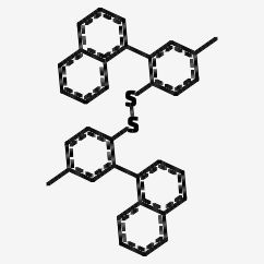 Cc1ccc(SSc2ccc(C)cc2-c2cccc3ccccc23)c(-c2cccc3ccccc23)c1